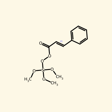 CO[Si](OC)(OC)OOC(=O)/C=C/c1ccccc1